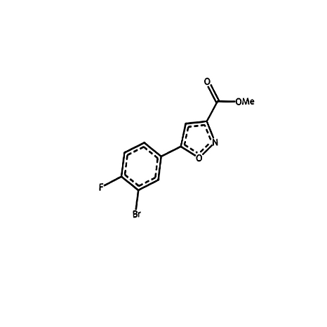 COC(=O)c1cc(-c2ccc(F)c(Br)c2)on1